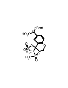 CCCCC[C@H](C(=O)O)c1ccc2c(c1)C(SS(C)(=O)=O)(SS(C)(=O)=O)CCO2